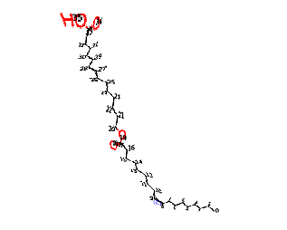 CCCCCCCC/C=C\CCCCCCCC(=O)OCCCCCCCCCCCCCC(=O)O